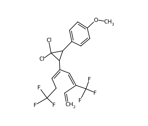 C=C/C(=C\C(=C/CC(F)(F)F)C1C(c2ccc(OC)cc2)C1(Cl)Cl)C(F)(F)F